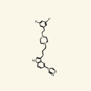 Fc1cc(F)cc(CCN2CCN(CCCc3c[nH]c4ccc(-n5cnnc5)cc34)CC2)c1